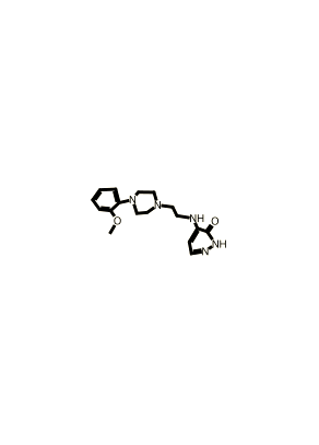 COc1ccccc1N1CCN(CCNc2ccn[nH]c2=O)CC1